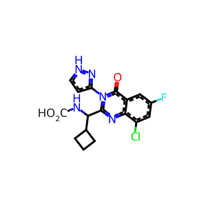 O=C(O)NC(c1nc2c(Cl)cc(F)cc2c(=O)n1-c1cc[nH]n1)C1CCC1